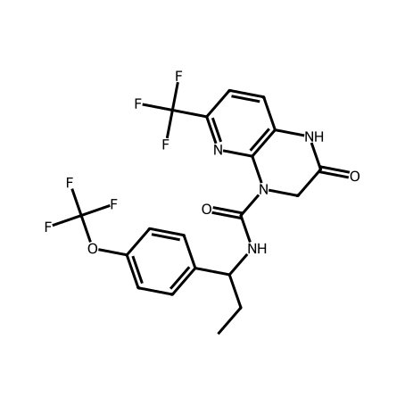 CCC(NC(=O)N1CC(=O)Nc2ccc(C(F)(F)F)nc21)c1ccc(OC(F)(F)F)cc1